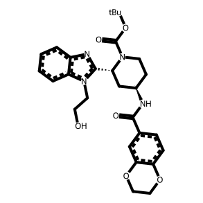 CC(C)(C)OC(=O)N1CC[C@@H](NC(=O)c2ccc3c(c2)OCCO3)C[C@@H]1c1nc2ccccc2n1CCO